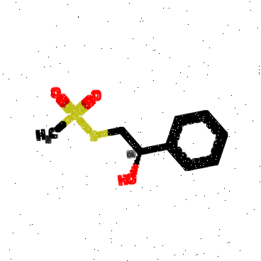 CS(=O)(=O)SC[C@@H](O)c1ccccc1